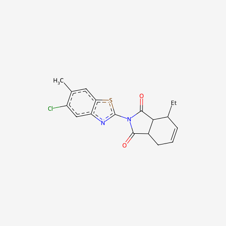 CCC1C=CCC2C(=O)N(c3nc4cc(Cl)c(C)cc4s3)C(=O)C12